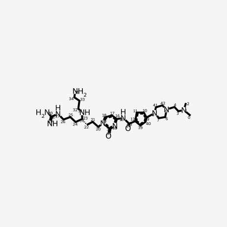 CN(C)CCN1CCN(c2ccc(C(=O)Nc3ccn(CCC[C@H](CCCNC(=N)N)NCCCN)c(=O)n3)cc2)CC1